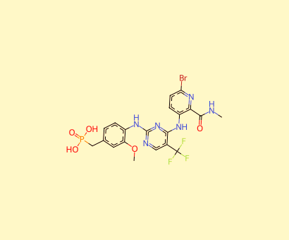 CNC(=O)c1nc(Br)ccc1Nc1nc(Nc2ccc(CP(=O)(O)O)cc2OC)ncc1C(F)(F)F